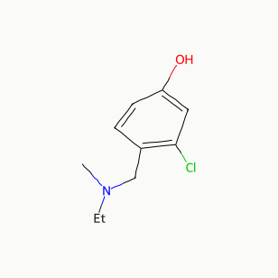 CCN(C)Cc1ccc(O)cc1Cl